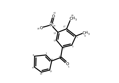 Cc1cc(C(=O)c2ccccc2)cc([N+](=O)[O-])c1C